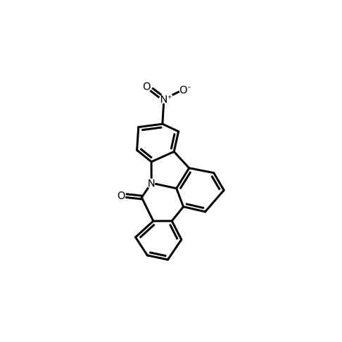 O=c1c2ccccc2c2cccc3c4cc([N+](=O)[O-])ccc4n1c23